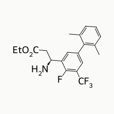 CCOC(=O)C[C@H](N)c1cc(-c2c(C)cccc2C)cc(C(F)(F)F)c1F